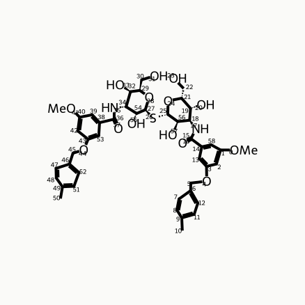 COc1cc(OCc2ccc(C)cc2)cc(C(=O)N[C@@H]2[C@@H](O)[C@@H](CO)O[C@@H](S[C@@H]3O[C@H](CO)[C@H](O)[C@@H](NC(=O)c4cc(OC)cc(OCc5ccc(C)cc5)c4)[C@H]3O)[C@@H]2O)c1